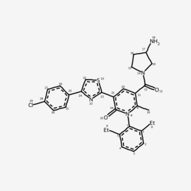 CCc1cccc(CC)c1-n1c(C)c(C(=O)N2CCC(N)C2)cc(-c2nc(-c3ccc(Cl)cc3)cs2)c1=O